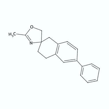 CC1=NC2(CCc3cc(-c4ccccc4)ccc3C2)CO1